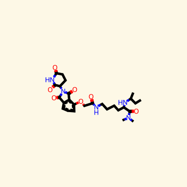 CCC(C)NC(CCCCNC(=O)COc1cccc2c1C(=O)N(C1CCC(=O)NC1=O)C2=O)C(=O)N(C)C